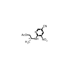 CC(=O)OC[C@@H](C)Nc1ncc(C#N)cc1[N+](=O)[O-]